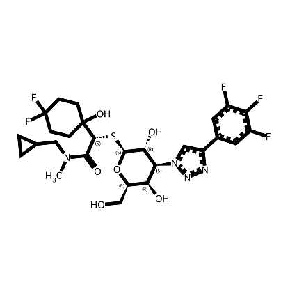 CN(CC1CC1)C(=O)[C@@H](S[C@@H]1O[C@H](CO)[C@H](O)[C@H](n2cc(-c3cc(F)c(F)c(F)c3)nn2)[C@H]1O)C1(O)CCC(F)(F)CC1